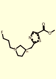 COC(=O)c1cnc(C[C@H]2CCN(CCCF)C2)s1